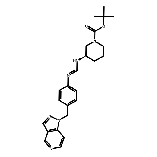 CC(C)(C)OC(=O)N1CCC[C@@H](NC=Nc2ccc(Cn3ncc4cnccc43)cc2)C1